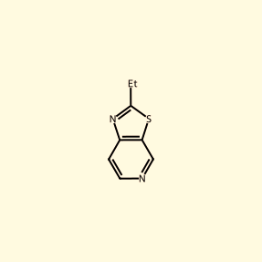 CCc1nc2ccncc2s1